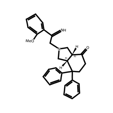 COc1ccccc1C(=N)CN1C[C@@H]2C(=O)CCC(c3ccccc3)(c3ccccc3)[C@@H]2C1